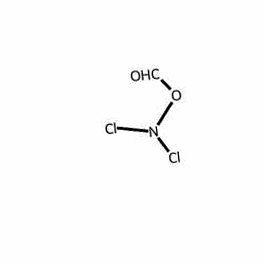 O=CON(Cl)Cl